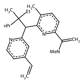 C=Cc1ccnc(C(c2nc(C(=C)NC)ccc2C)C(C)(CC)CCC)c1